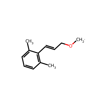 [CH2]OCC=Cc1c(C)cccc1C